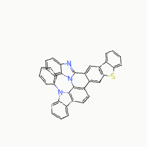 c1ccc(-n2c3ccccc3c3ccc4c5cc6sc7ccccc7c6cc5c5nc6ccccc6n5c4c32)cc1